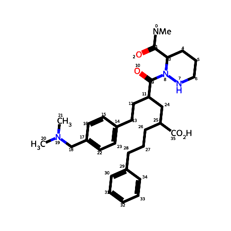 CNC(=O)C1CCCNN1C(=O)C(CCc1ccc(CN(C)C)cc1)CC(CCCc1ccccc1)C(=O)O